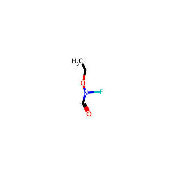 CCON(F)[C]=O